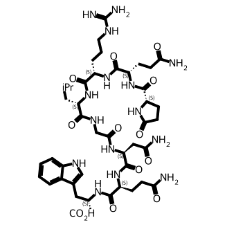 CC(C)C[C@H](NC(=O)[C@H](CCCNC(=N)N)NC(=O)[C@H](CCC(N)=O)NC(=O)[C@@H]1CCC(=O)N1)C(=O)NCC(=O)N[C@@H](CC(N)=O)C(=O)N[C@@H](CCC(N)=O)C(=O)N[C@@H](Cc1c[nH]c2ccccc12)C(=O)O